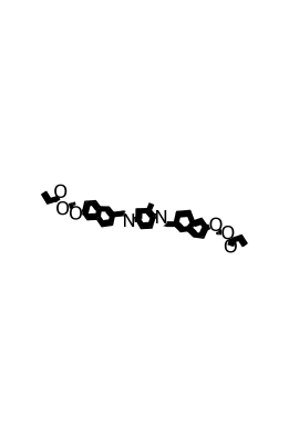 C=CC(=O)OCOc1ccc2cc(C=Nc3ccc(N=Cc4ccc5cc(OCOC(=O)C=C)ccc5c4)c(C)c3)ccc2c1